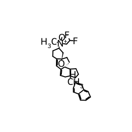 C[C@]12CC=C3C=C4CC[C@@H]([N+](C)([O-])CC(F)F)C[C@]45CC[C@]3(O5)[C@@H]1CC[C@@H]2c1ccc2ccccc2c1